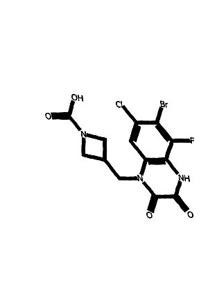 O=C(O)N1CC(Cn2c(=O)c(=O)[nH]c3c(F)c(Br)c(Cl)cc32)C1